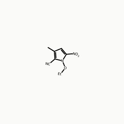 CCOn1c([N+](=O)[O-])cc(C)c1C#N